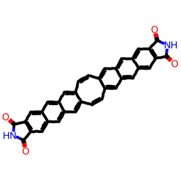 O=c1[nH]c(=O)c2cc3cc4cc5ccc6cc7cc8cc9c(=O)[nH]c(=O)c9cc8cc7cc6ccc5cc4cc3cc12